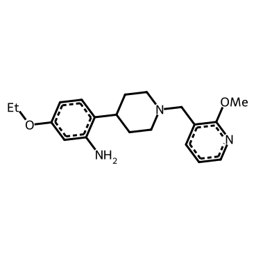 CCOc1ccc(C2CCN(Cc3cccnc3OC)CC2)c(N)c1